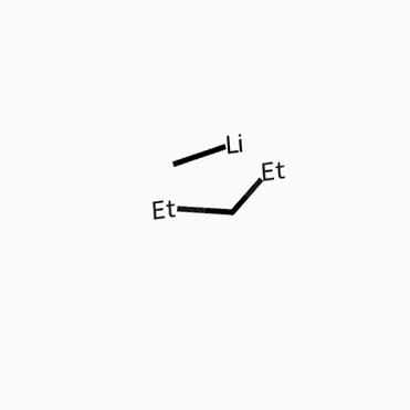 CCCCC.[Li][CH3]